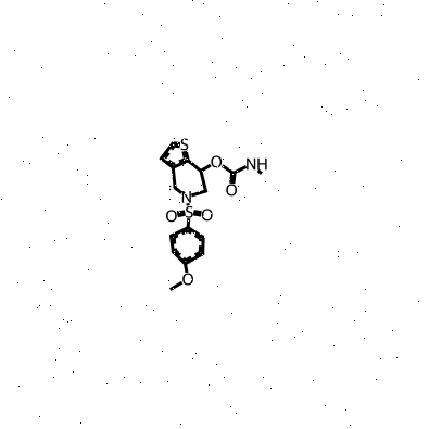 CNC(=O)OC1CN(S(=O)(=O)c2ccc(OC)cc2)[C]c2ccsc21